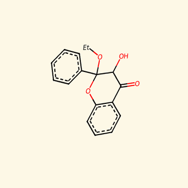 CCOC1(c2ccccc2)Oc2ccccc2C(=O)C1O